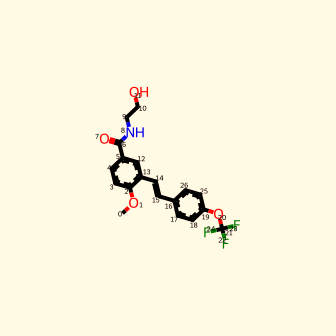 COc1ccc(C(=O)NCCO)cc1C=Cc1ccc(OC(F)(F)F)cc1